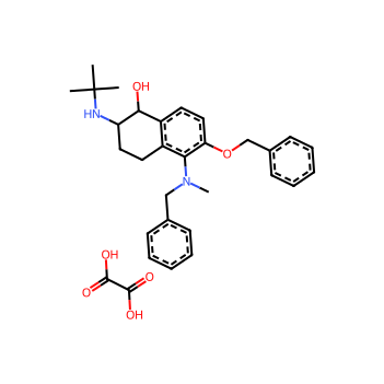 CN(Cc1ccccc1)c1c(OCc2ccccc2)ccc2c1CCC(NC(C)(C)C)C2O.O=C(O)C(=O)O